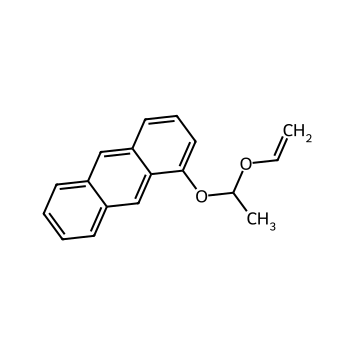 C=COC(C)Oc1cccc2cc3ccccc3cc12